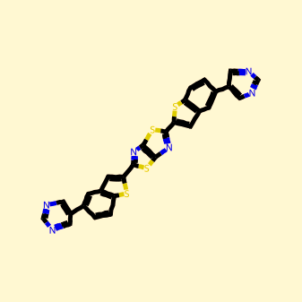 c1ncc(-c2ccc3sc(-c4nc5sc(-c6cc7cc(-c8cncnc8)ccc7s6)nc5s4)cc3c2)cn1